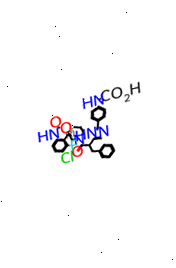 O=C(O)Nc1ccc(-c2ncc(C(Cc3ccccc3)C(=O)N3CCC[C@@]4(C3)OC(=O)Nc3ccc(Cl)c(F)c34)[nH]2)cc1